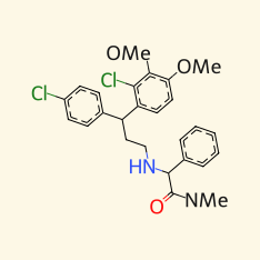 CNC(=O)C(NCCC(c1ccc(Cl)cc1)c1ccc(OC)c(OC)c1Cl)c1ccccc1